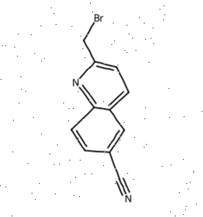 N#Cc1ccc2nc(CBr)ccc2c1